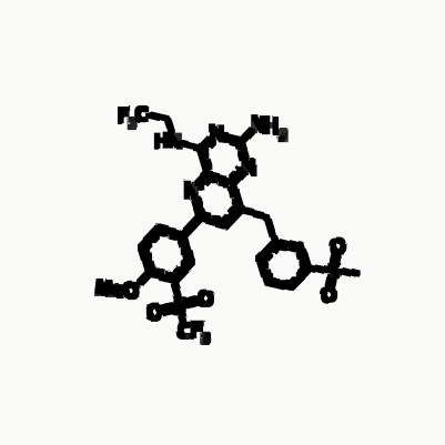 COc1ccc(-c2cc(Cc3cccc(S(C)(=O)=O)c3)c3nc(N)nc(NCC(F)(F)F)c3n2)cc1S(=O)(=O)C(F)(F)F